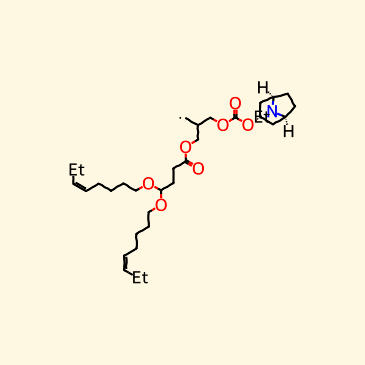 [CH2]C(COC(=O)CCC(OCCCC/C=C\CC)OCCCC/C=C\CC)COC(=O)O[C@@H]1C[C@H]2CC[C@@H](C1)N2CC